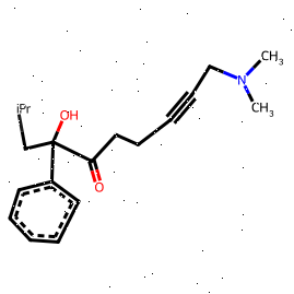 CC(C)CC(O)(C(=O)CCC#CCN(C)C)c1ccccc1